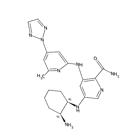 Cc1cc(-n2nccn2)cc(Nc2cc(N[C@@H]3CCCC[C@@H]3N)cnc2C(N)=O)n1